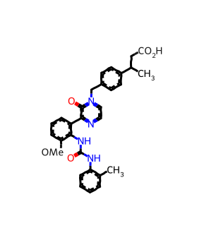 COc1cccc(-c2nccn(Cc3ccc(C(C)CC(=O)O)cc3)c2=O)c1NC(=O)Nc1ccccc1C